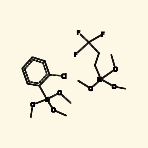 CO[Si](CCC(F)(F)F)(OC)OC.CO[Si](OC)(OC)c1ccccc1Cl